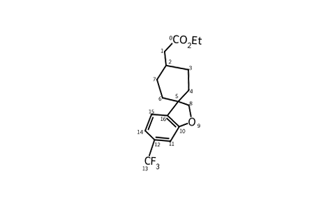 CCOC(=O)CC1CCC2(CC1)COc1cc(C(F)(F)F)ccc12